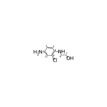 Nc1ccc(NCCO)c(Cl)c1